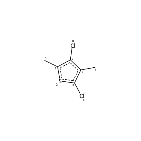 Cc1sc(Cl)c(C)c1Cl